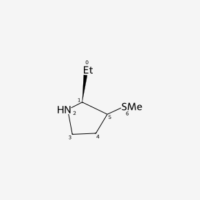 CC[C@@H]1NCCC1SC